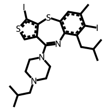 Cc1cc2c(c(CC(C)C)c1I)N=C(N1CCN(CC(C)C)CC1)c1csc(I)c1S2